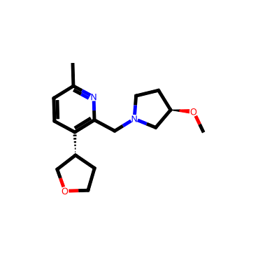 CO[C@@H]1CCN(Cc2nc(C)ccc2[C@@H]2CCOC2)C1